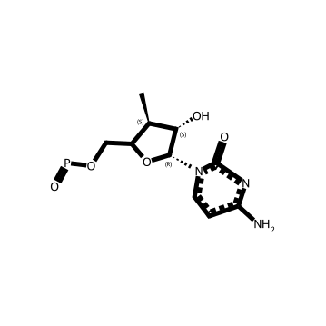 C[C@@H]1C(COP=O)O[C@@H](n2ccc(N)nc2=O)[C@H]1O